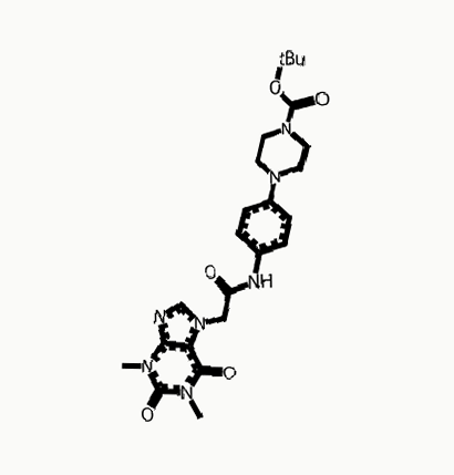 Cn1c(=O)c2c(ncn2CC(=O)Nc2ccc(N3CCN(C(=O)OC(C)(C)C)CC3)cc2)n(C)c1=O